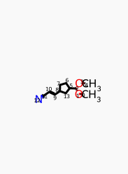 COC(OC)C1CCC(C=CC#N)C1